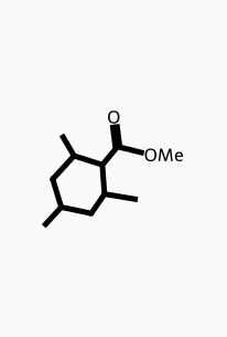 COC(=O)C1C(C)CC(C)CC1C